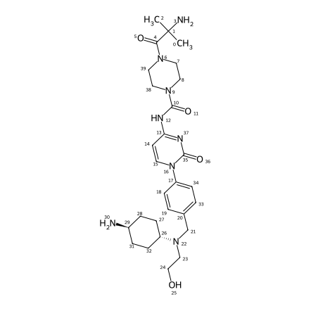 CC(C)(N)C(=O)N1CCN(C(=O)Nc2ccn(-c3ccc(CN(CCO)[C@H]4CC[C@H](N)CC4)cc3)c(=O)n2)CC1